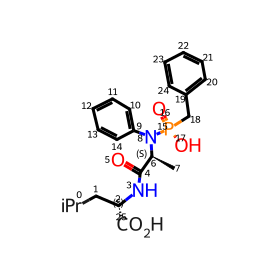 CC(C)C[C@H](NC(=O)[C@H](C)N(c1ccccc1)P(=O)(O)Cc1ccccc1)C(=O)O